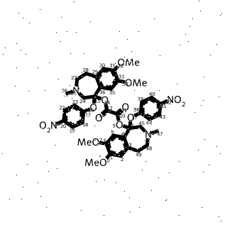 COc1cc2c(cc1OC)C(OC(=O)C(=O)OC1(Oc3ccc([N+](=O)[O-])cc3)CN(C)CCc3cc(OC)c(OC)cc31)(Oc1ccc([N+](=O)[O-])cc1)CN(C)CC2